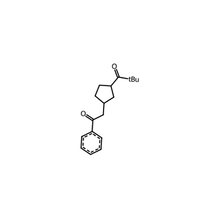 CC(C)(C)C(=O)C1CCC(CC(=O)c2ccccc2)C1